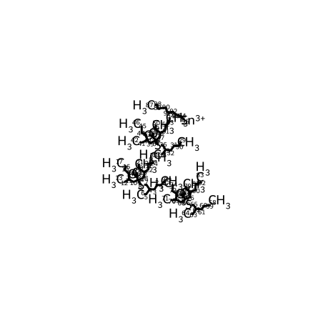 CCCCC(CC)CSC(CC(CC)CCCC)(CC(CC)CCCC)C(=O)[O-].CCCCC(CC)CSC(CC(CC)CCCC)(CC(CC)CCCC)C(=O)[O-].CCCCC(CC)CSC(CC(CC)CCCC)(CC(CC)CCCC)C(=O)[O-].CCCCCCC[CH2][Sn+3]